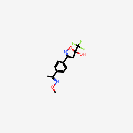 CON=C(C)c1ccc(C2=NOC(O)(C(F)(F)F)C2)cc1